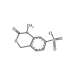 CN1C(=O)OCc2ccc(S(=O)(=O)Cl)cc21